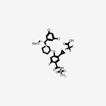 COC[C@H](c1cc(Cl)cc(Cl)c1)N1CCC[C@@H](Oc2cc(F)c(C(=O)NS(C)(=O)=O)cc2C2CC2)C1.O=C(O)C(F)(F)F